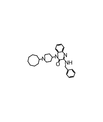 O=c1c(NCc2ccccc2)nc2ccccc2n1C1CCN(C2CCCCCCC2)CC1